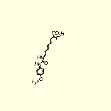 O=C(NCCCCCCC(F)C(=O)O)Nc1ccc(OC(F)(F)F)cc1